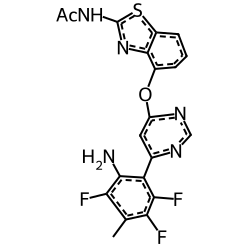 CC(=O)Nc1nc2c(Oc3cc(-c4c(N)c(F)c(C)c(F)c4F)ncn3)cccc2s1